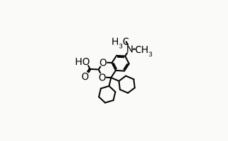 CN(C)c1ccc2c(c1)OC(C(=O)O)OC2(C1CCCCC1)C1CCCCC1